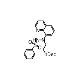 CCCCCCCCCCCCN(NS(=O)(=O)c1ccccc1)c1cccc2cccnc12